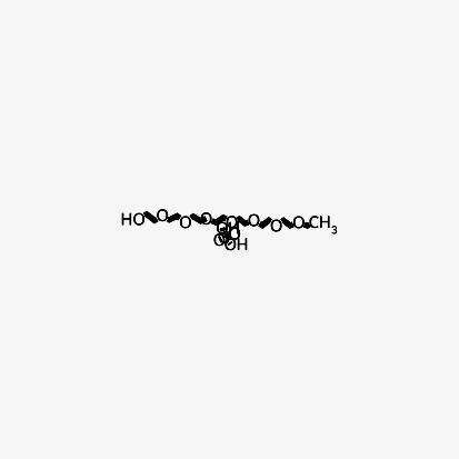 CCOCCOCCOCCOCCOCCOCCOCCO.O=S(=O)(O)O